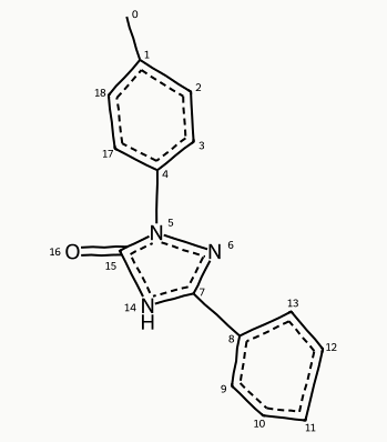 Cc1ccc(-n2nc(-c3ccccc3)[nH]c2=O)cc1